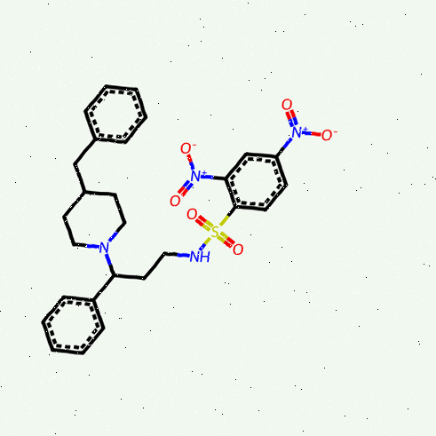 O=[N+]([O-])c1ccc(S(=O)(=O)NCCC(c2ccccc2)N2CCC(Cc3ccccc3)CC2)c([N+](=O)[O-])c1